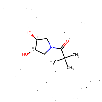 CC(C)(C)C(=O)N1C[C@H](O)[C@@H](O)C1